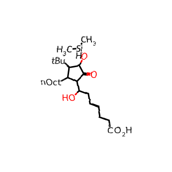 CCCCCCCCC1C(C(O)CCCCCC(=O)O)C(=O)C(O[SiH](C)C)C1C(C)(C)C